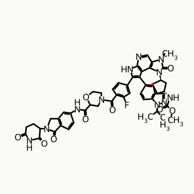 COC(=O)N[C@@H]1CC[C@@H](n2c(=O)n(C)c3cnc4[nH]c(-c5ccc(C(=O)N6CCOC(C(=O)Nc7ccc8c(c7)CN(C7CCC(=O)NC7=O)C8=O)C6)c(F)c5)c(-c5ccc6c(cnn6C(C)C)c5)c4c32)C1